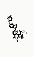 Cc1ccc(Oc2ccc3c(c2)ncn3-c2ccc(C(C)O)c(-c3c[nH]nc3C(C)C(F)(F)F)n2)nn1